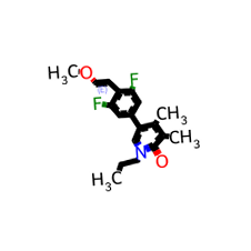 CCCn1cc(-c2cc(F)c(/C=C/OC)c(F)c2)c(C)c(C)c1=O